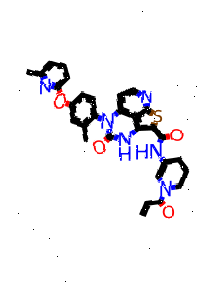 C=CC(=O)N1C=C(NC(=O)c2sc3nccc4c3c2NC(=O)N4c2ccc(Oc3cccc(C)n3)cc2C)CCC1